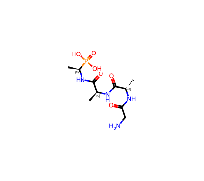 C[C@H](NC(=O)CN)C(=O)N[C@@H](C)C(=O)N[C@@H](C)P(=O)(O)O